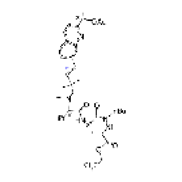 CCCCN(NCC(=O)OCC(Cl)(Cl)Cl)C(=O)[C@H](C)NC(=O)[C@H](C(C)C)N(C)CC(C)(C)/C=C/c1ccc2ccc([C@@H](C)OC(C)=O)nc2c1